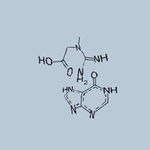 CN(CC(=O)O)C(=N)N.O=c1[nH]cnc2nc[nH]c12